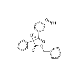 O=C(OCc1ccccc1)C(C(=O)c1ccccc1)(c1ccccc1)C(F)(F)F.O=P